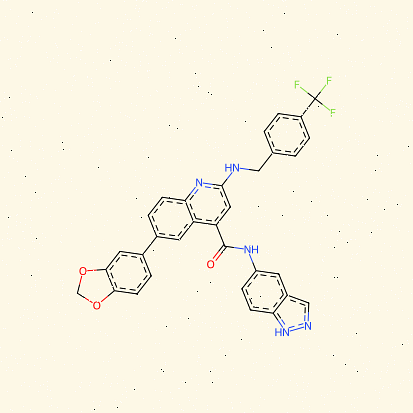 O=C(Nc1ccc2[nH]ncc2c1)c1cc(NCc2ccc(C(F)(F)F)cc2)nc2ccc(-c3ccc4c(c3)OCO4)cc12